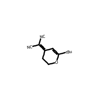 [C-]#[N+]/C(C#N)=C1\C=C(C(C)(C)C)OCC1